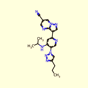 CCCc1cn(-c2cnc(-c3cnn4cc(C#N)cnc34)cc2NC(C)C)nn1